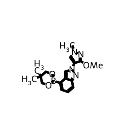 COc1nn(C)cc1-n1cc2c(B3OCC(C)(C)CO3)cccc2n1